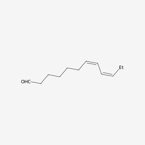 CC/C=C\C=C/CCCCCC=O